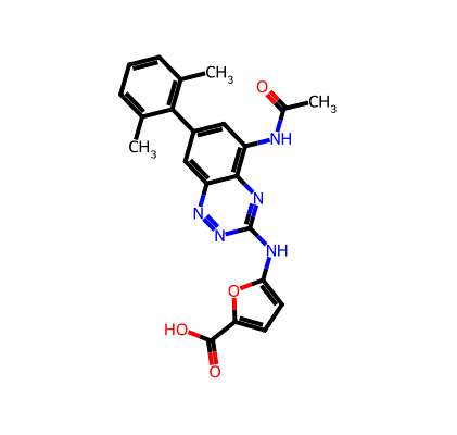 CC(=O)Nc1cc(-c2c(C)cccc2C)cc2nnc(Nc3ccc(C(=O)O)o3)nc12